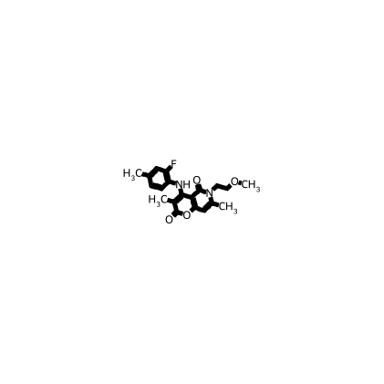 COCCn1c(C)cc2oc(=O)c(C)c(Nc3ccc(C)cc3F)c2c1=O